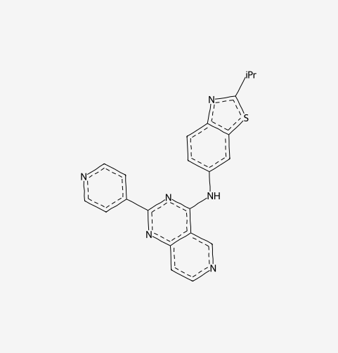 CC(C)c1nc2ccc(Nc3nc(-c4ccncc4)nc4ccncc34)cc2s1